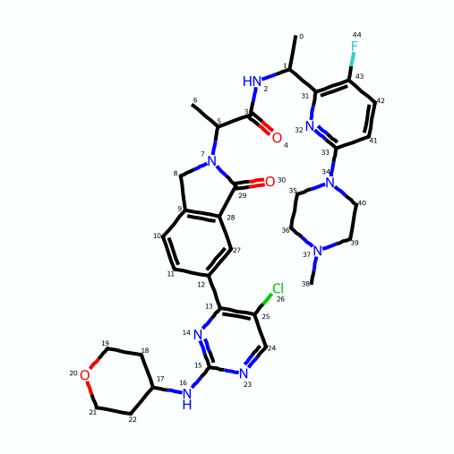 CC(NC(=O)C(C)N1Cc2ccc(-c3nc(NC4CCOCC4)ncc3Cl)cc2C1=O)c1nc(N2CCN(C)CC2)ccc1F